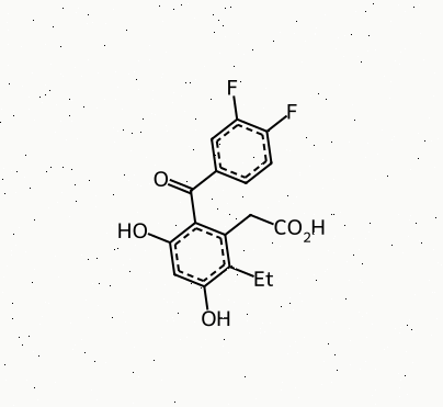 CCc1c(O)cc(O)c(C(=O)c2ccc(F)c(F)c2)c1CC(=O)O